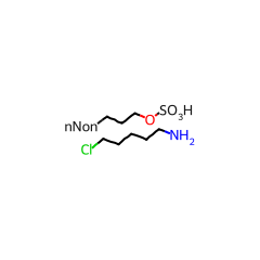 CCCCCCCCCCCCOS(=O)(=O)O.NCCCCCCl